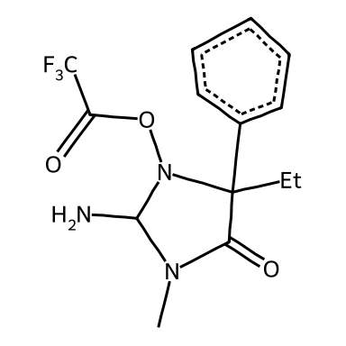 CCC1(c2ccccc2)C(=O)N(C)C(N)N1OC(=O)C(F)(F)F